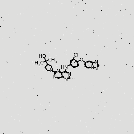 CC(C)(O)[C@@H]1CCN(c2ncc3ncnc(Nc4ccc(Oc5ccn6ncnc6c5)c(Cl)c4)c3n2)C1